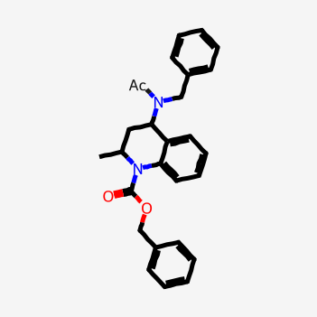 CC(=O)N(Cc1ccccc1)C1CC(C)N(C(=O)OCc2ccccc2)c2ccccc21